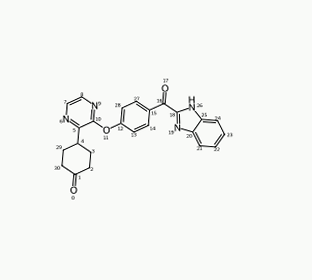 O=C1CCC(c2nccnc2Oc2ccc(C(=O)c3nc4ccccc4[nH]3)cc2)CC1